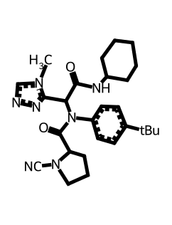 Cn1cnnc1C(C(=O)NC1CCCCC1)N(C(=O)C1CCCN1C#N)c1ccc(C(C)(C)C)cc1